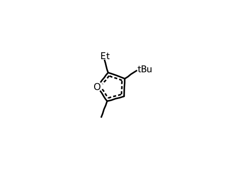 CCc1oc(C)cc1C(C)(C)C